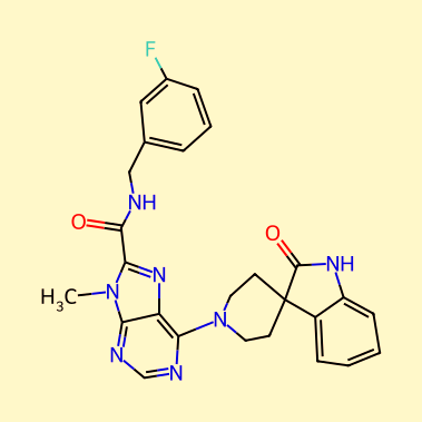 Cn1c(C(=O)NCc2cccc(F)c2)nc2c(N3CCC4(CC3)C(=O)Nc3ccccc34)ncnc21